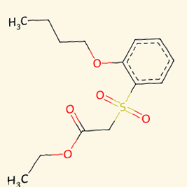 CCCCOc1ccccc1S(=O)(=O)CC(=O)OCC